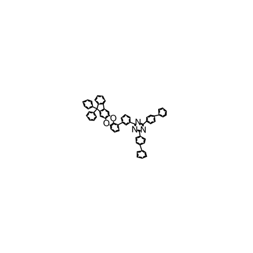 c1ccc(-c2ccc(-c3nc(-c4ccc(-c5ccccc5)cc4)nc(-c4cccc(-c5cccc6c5Oc5cc7c(cc5O6)C(c5ccccc5)(c5ccccc5)c5ccccc5-7)c4)n3)cc2)cc1